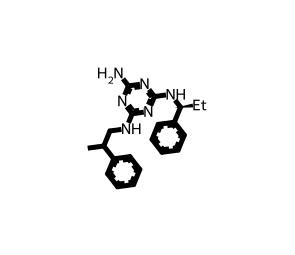 CC[C@H](Nc1nc(N)nc(NCC(C)c2ccccc2)n1)c1ccccc1